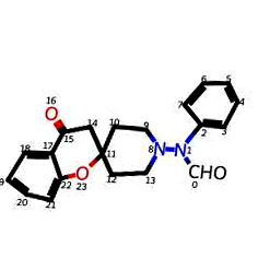 O=CN(c1ccccc1)N1CCC2(CC1)CC(=O)c1ccccc1O2